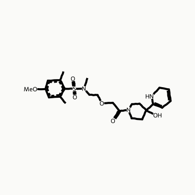 COc1cc(C)c(S(=O)(=O)N(C)CCOCC(=O)N2CCC(O)(C3=CC=CCN3)CC2)c(C)c1